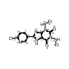 CCNn1c(=O)c2[nH]c(-c3ccc(Cl)nc3)nc2n(NCC)c1=O